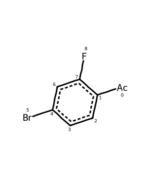 [CH2]C(=O)c1ccc(Br)cc1F